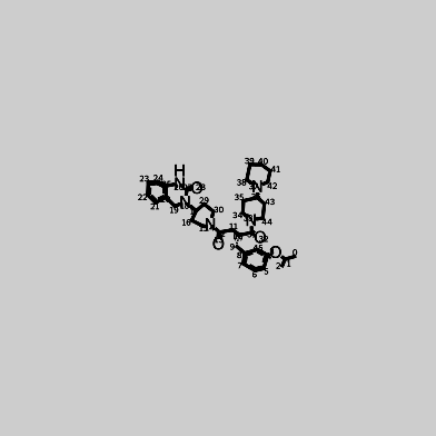 CC(C)Oc1cccc(C[C@H](CC(=O)N2CCC(N3Cc4ccccc4NC3=O)CC2)C(=O)N2CCC(N3CCCCC3)CC2)c1